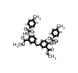 COC(=O)c1cc(Cc2ccc(NS(=O)(=O)c3ccc(C)cc3)c(C(=O)OC)c2)ccc1NS(=O)(=O)c1ccc(C)cc1